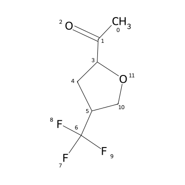 CC(=O)C1CC(C(F)(F)F)CO1